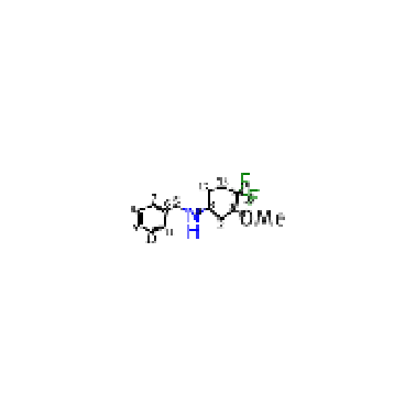 COC1CC(NCc2ccccc2)CCC1(F)F